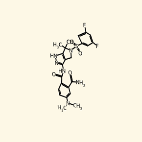 CN(C)c1ccc(C(=O)Nc2n[nH]c3c2CN(S(=O)(=O)c2cc(F)cc(F)c2)C3(C)C)c(C(N)=O)c1